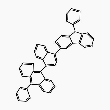 c1ccc(-c2c3ccccc3c(-c3ccc(-c4ccc5c(c4)c4cnccc4n5-c4ccccc4)c4ccccc34)c3ccccc23)cc1